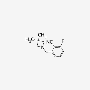 CC1(C)CN(Cc2cccc(F)c2C#N)C1